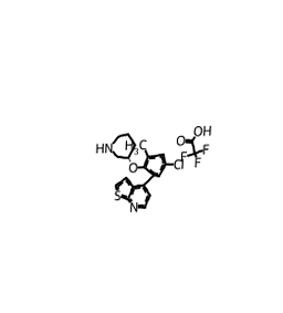 Cc1cc(Cl)cc(-c2ccnc3sccc23)c1O[C@H]1CCCNC1.O=C(O)C(F)(F)F